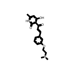 Cc1cc(O)c(C(=O)C=Cc2cccc(OCCN(C)C)c2)c(=O)[nH]1